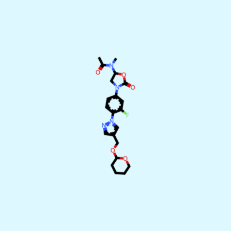 CC(=O)N(C)C1CN(c2ccc(-n3cc(COC4CCCCO4)cn3)c(F)c2)C(=O)O1